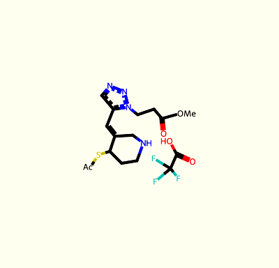 COC(=O)CCn1nncc1C=C1CNCCC1SC(C)=O.O=C(O)C(F)(F)F